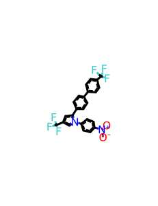 O=[N+]([O-])c1ccc(-n2cc(C(F)(F)F)cc2-c2ccc(-c3ccc(C(F)(F)F)cc3)cc2)cc1